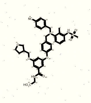 Cc1c(NS(C)(=O)=O)cccc1N(Cc1ccc(C#N)cc1)Cc1ccc(Oc2cc(OCC3CCOC3)cc(C(=O)NCC(=O)O)c2)cc1